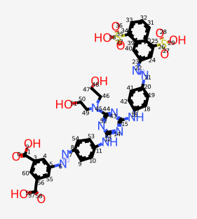 O=C(O)c1cc(/N=N/c2ccc(Nc3nc(Nc4ccc(/N=N/c5cc(S(=O)(=O)O)c6cccc(S(=O)(=O)O)c6c5)cc4)nc(N(CCO)CCO)n3)cc2)cc(C(=O)O)c1